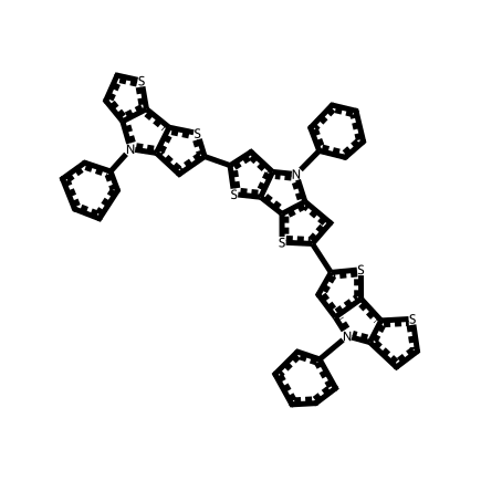 c1ccc(-n2c3ccsc3c3sc(-c4cc5c(s4)c4sc(-c6cc7c(s6)c6sccc6n7-c6ccccc6)cc4n5-c4ccccc4)cc32)cc1